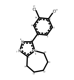 Clc1ccc(-c2nnc3n2CCCCC3)cc1Cl